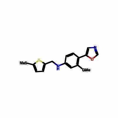 COc1cc(NCc2ccc(SC)s2)ccc1-c1cnco1